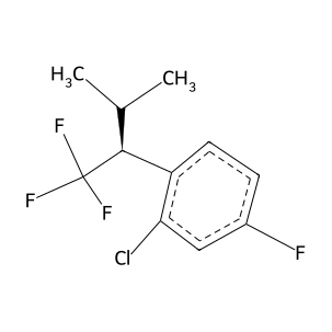 CC(C)[C@@H](c1ccc(F)cc1Cl)C(F)(F)F